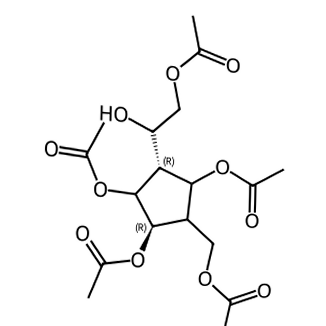 CC(=O)OCC1C(OC(C)=O)[C@@H](C(O)COC(C)=O)C(OC(C)=O)[C@@H]1OC(C)=O